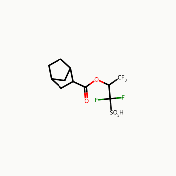 O=C(OC(C(F)(F)F)C(F)(F)S(=O)(=O)O)C1CC2CCC1C2